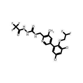 Cc1cc(-c2cc(Cl)cc(Cl)c2OCC(F)F)cnc1CNC(=O)NNC(=O)C(F)(F)F